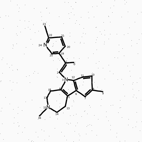 C/C(=C\n1c2c(c3cc(C)ccc31)CCN(C)CC2)c1ccc(C)nc1